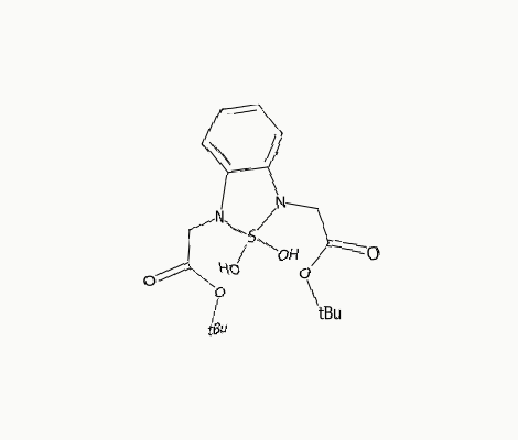 CC(C)(C)OC(=O)CN1c2ccccc2N(CC(=O)OC(C)(C)C)S1(O)O